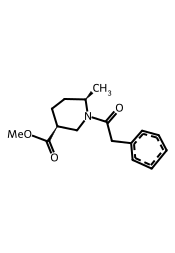 COC(=O)[C@H]1CC[C@@H](C)N(C(=O)Cc2ccccc2)C1